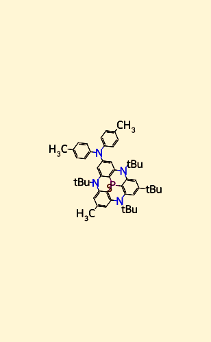 Cc1ccc(N(c2ccc(C)cc2)c2cc3c4c(c2)N(C(C)(C)C)c2cc(C(C)(C)C)cc5c2P4(=S)c2c(cc(C)cc2N5C(C)(C)C)N3C(C)(C)C)cc1